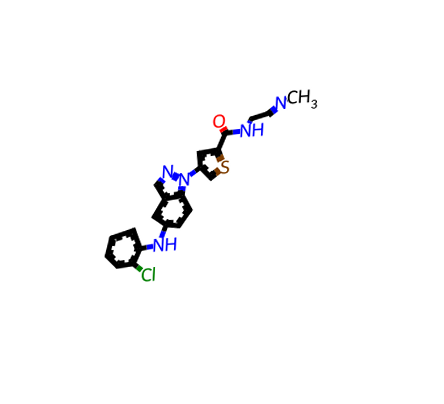 C/N=C/CNC(=O)c1cc(-n2ncc3cc(Nc4ccccc4Cl)ccc32)cs1